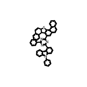 C1=CC2Sc3c(c(-c4nc(-c5ccccc5)nc(-c5cccc6c5c5ccccc5n6-c5ccccc5)n4)cc4ccc5ccccc5c34)C2c2ccccc21